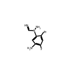 CC(C)c1cc(F)c(N)cc1N(N)C=N